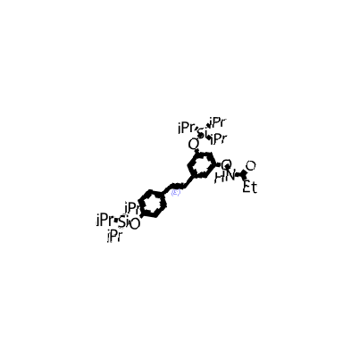 CCC(=O)NOc1cc(/C=C/c2ccc(O[Si](C(C)C)(C(C)C)C(C)C)cc2)cc(O[Si](C(C)C)(C(C)C)C(C)C)c1